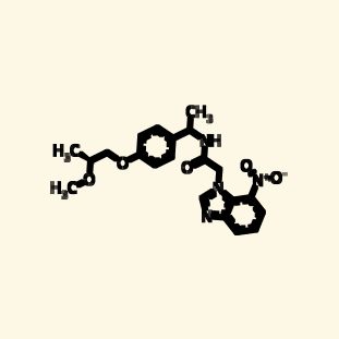 CO[C@@H](C)COc1ccc(C(C)NC(=O)Cn2cnc3cccc([N+](=O)[O-])c32)cc1